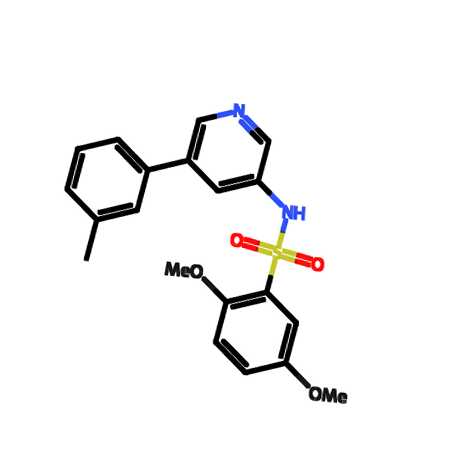 COc1ccc(OC)c(S(=O)(=O)Nc2cncc(-c3cccc(C)c3)c2)c1